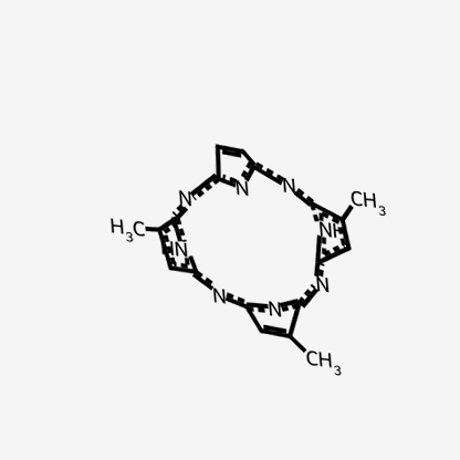 CC1=Cc2nc1nc1cc(C)c(nc3nc(nc4[nH]c(cc4C)n2)C=C3)[nH]1